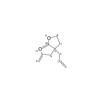 C=CCC1(CC=C)CCOC1=O